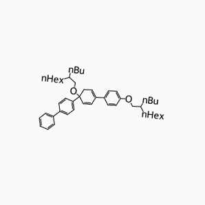 CCCCCCC(CCCC)COc1ccc(C2=CCC(OCC(CCCC)CCCCCC)(c3ccc(-c4ccccc4)cc3)C=C2)cc1